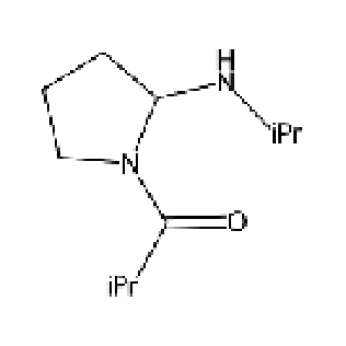 CC(C)NC1CCCN1C(=O)C(C)C